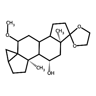 COC1CC2C3CCC4(OCCO4)[C@@]3(C)C[C@H](O)C2[C@@]2(C)CCC3CC312